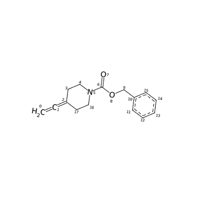 C=C=C1CCN(C(=O)OCc2ccccc2)CC1